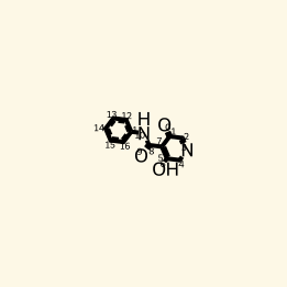 O=C1C=NCC(O)=C1C(=O)Nc1ccccc1